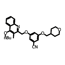 CCCCOc1c(C)c(COc2cc(C#N)cc(OCC3CCOCC3)c2)nc2ccccc12